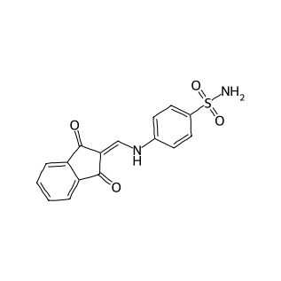 NS(=O)(=O)c1ccc(NC=C2C(=O)c3ccccc3C2=O)cc1